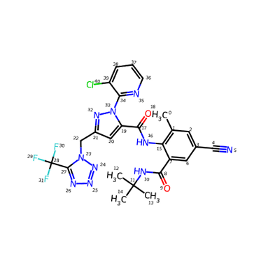 Cc1cc(C#N)cc(C(=O)NC(C)(C)C)c1NC(=O)c1cc(Cn2nnnc2C(F)(F)F)nn1-c1ncccc1Cl